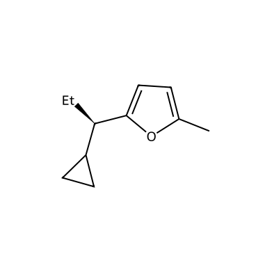 CC[C@@H](c1ccc(C)o1)C1CC1